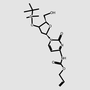 C=CCOC(=O)Nc1ccn([C@H]2CC(O[Si](C)(C)C(C)(C)C)[C@@H](CO)O2)c(=O)n1